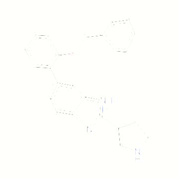 c1ccc(COc2ccccc2-c2ccc3nc(C4CCNC4)[nH]c3c2)cc1